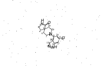 O=C1NCCC12CCN(c1cc(Cl)cc3[nH]ncc13)CC2